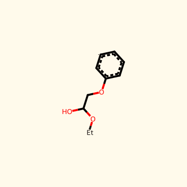 CCOC(O)COc1c[c]ccc1